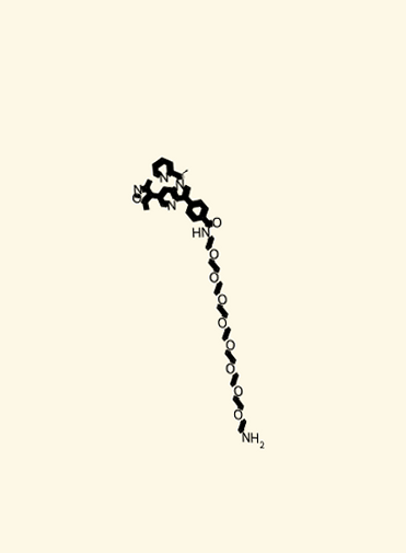 Cc1noc(C)c1-c1cnc2c(-c3ccc(C(=O)NCCOCCOCCOCCOCCOCCOCCOCCOCCN)cc3)cn([C@@H](C)c3ccccn3)c2c1